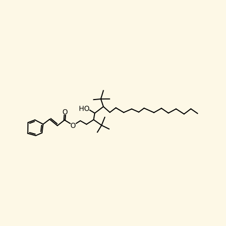 CCCCCCCCCCCCCC(C(O)C(CCOC(=O)C=Cc1ccccc1)C(C)(C)C)C(C)(C)C